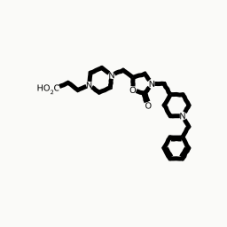 O=C(O)CCN1CCN(CC2CN(CC3CCN(Cc4ccccc4)CC3)C(=O)O2)CC1